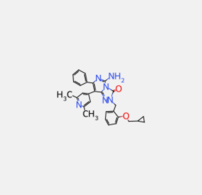 Cc1cc(-c2c(-c3ccccc3)nc(N)n3c(=O)n(Cc4ccccc4OCC4CC4)nc23)cc(C)n1